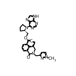 Cn1ccc(CN2Cc3ccc(OC[C@H]4CCCN4c4ncnc5[nH]cnc45)c4cccc(c34)C2=O)n1